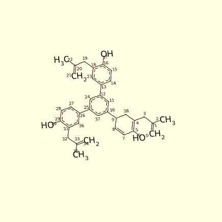 C=C(C)CC1=C(O)C=CC(c2cc(-c3ccc(O)c(CC(=C)C)c3)cc(-c3ccc(O)c(CC(=C)C)c3)c2)C1